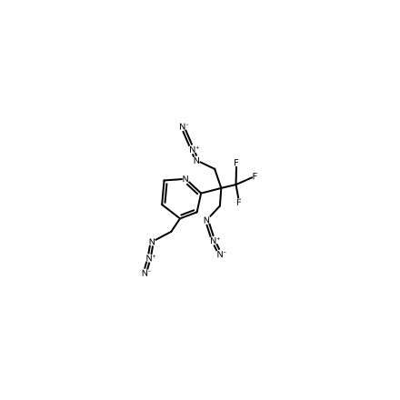 [N-]=[N+]=NCc1ccnc(C(CN=[N+]=[N-])(CN=[N+]=[N-])C(F)(F)F)c1